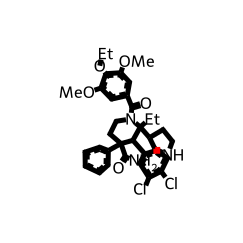 CCOc1c(OC)cc(C(=O)N2CCC(C(N)=O)(c3ccccc3)C(c3ccc(Cl)c(Cl)c3)C2(CC)C2CCNC2)cc1OC